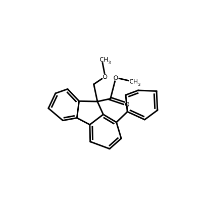 COCC1(C(=O)OC)c2ccccc2-c2cccc(-c3ccccc3)c21